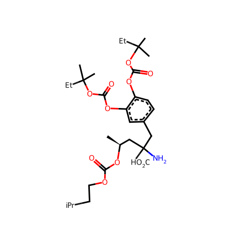 CCC(C)(C)OC(=O)Oc1ccc(CC(N)(C[C@H](C)OC(=O)OCCC(C)C)C(=O)O)cc1OC(=O)OC(C)(C)CC